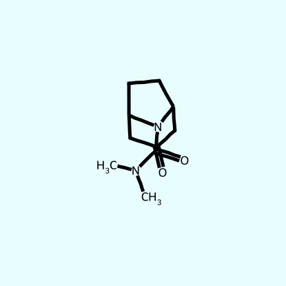 CN(C)C(=O)N1C2CCC1CC(=O)C2